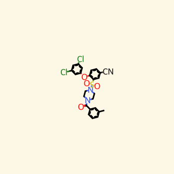 Cc1cccc(C(=O)N2CCN(S(=O)(=O)c3cc(C#N)ccc3Oc3cc(Cl)cc(Cl)c3)CC2)c1